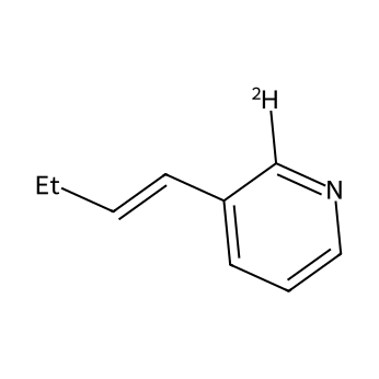 [2H]c1ncccc1C=CCC